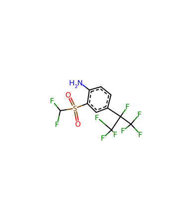 Nc1ccc(C(F)(C(F)(F)F)C(F)(F)F)cc1S(=O)(=O)C(F)F